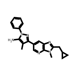 Cc1c(-c2cnc3c(c2)nc(CC2CC2)n3C)nn(-c2ccccc2)c1N